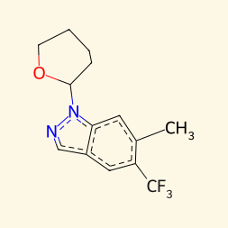 Cc1cc2c(cnn2C2CCCCO2)cc1C(F)(F)F